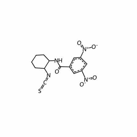 O=C(NC1CCCCC1N=C=S)c1cc([N+](=O)[O-])cc([N+](=O)[O-])c1